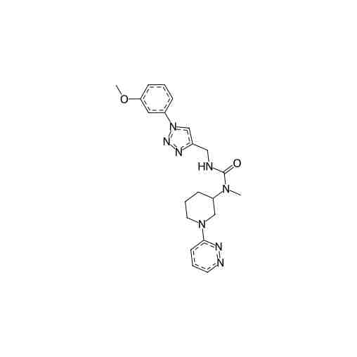 COc1cccc(-n2cc(CNC(=O)N(C)C3CCCN(c4cccnn4)C3)nn2)c1